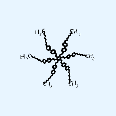 CCCCCCCCCC1CCC(c2ccc(CCc3c(CCc4ccc(C5CCC(CCCCCCCCC)CC5)cc4)c(CCc4ccc(C5CCC(CCCCCCCCC)CC5)cc4)c(CCc4ccc(C5CCC(CCCCCCCCC)CC5)cc4)c(CCc4ccc(C5CCC(CCCCCCCCC)CC5)cc4)c3CCc3ccc(C4CCC(CCCCCCCCC)CC4)cc3)cc2)CC1